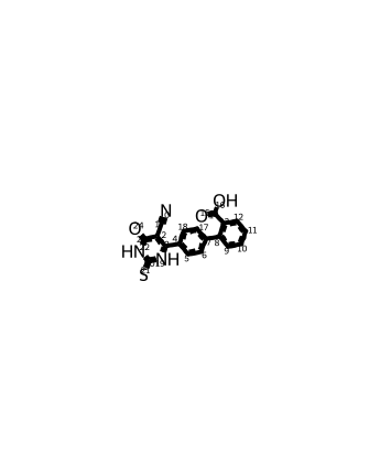 N#Cc1c(-c2ccc(-c3ccccc3C(=O)O)cc2)[nH]c(=S)[nH]c1=O